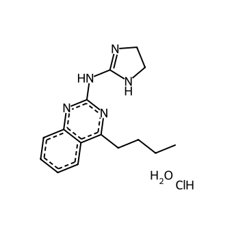 CCCCc1nc(NC2=NCCN2)nc2ccccc12.Cl.O